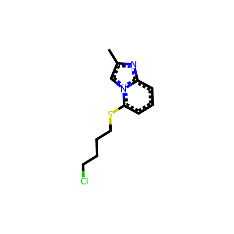 Cc1cn2c(SCCCCCl)cccc2n1